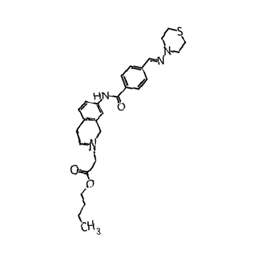 CCCCOC(=O)CN1CCc2ccc(NC(=O)c3ccc(C=NN4CCSCC4)cc3)cc2C1